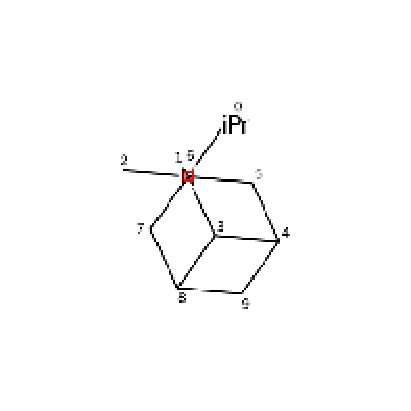 CC(C)N(C)C1C2CCCC1C2